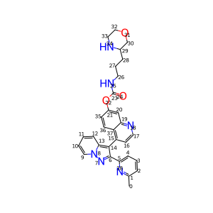 Cc1cccc(-c2nn3ccccc3c2-c2ccnc3cc(OC(=O)NCCCC4COCCN4)ccc23)n1